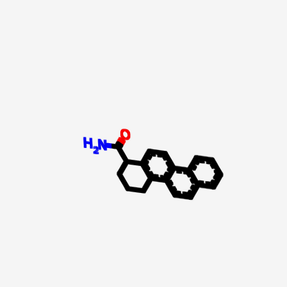 NC(=O)C1CCCc2c1ccc1c2ccc2ccccc21